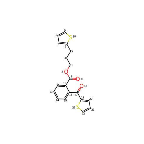 O=C(OCCCc1cccs1)c1ccccc1C(=O)c1cccs1